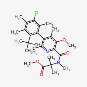 COC(=O)C(C)(C)N(C)C(=O)c1nc(C)c(-c2c(C)c(Cl)c(C)c(C)c2C(C)(C)C)c(C)c1OC